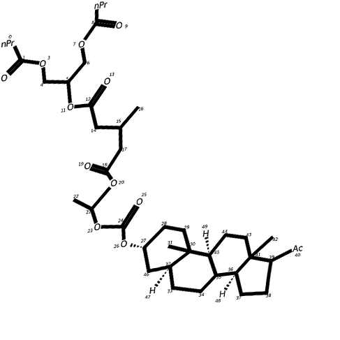 CCCC(=O)OCC(COC(=O)CCC)OC(=O)CC(C)CC(=O)OC(C)OC(=O)O[C@@H]1CCC2(C)[C@@H](CCC3[C@@H]4CCC(C(C)=O)C4(C)CC[C@@H]32)C1